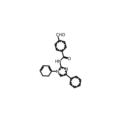 O=Cc1ccc(C(=O)Nc2nc(-c3ccccc3)cn2C2=CC=CCC2)cc1